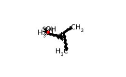 CC=CCCCN1CN(CCCC=CC)CN(CCCC=CC)C1.O=[SH](O)=S